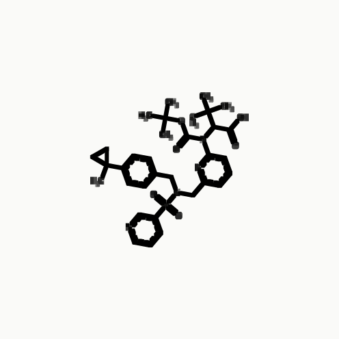 CC(C)(C)OC(=O)N(c1cccc(CN(Cc2ccc(C3(C)CC3)cc2)S(=O)(=O)c2cccnc2)n1)C(C(=O)O)C(C)(C)C